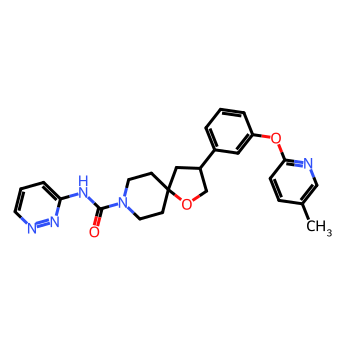 Cc1ccc(Oc2cccc(C3COC4(CCN(C(=O)Nc5cccnn5)CC4)C3)c2)nc1